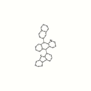 c1ccc2cc(-c3c4ccccc4c(-c4cccc5c4sc4ccccc45)c4cccnc34)ccc2c1